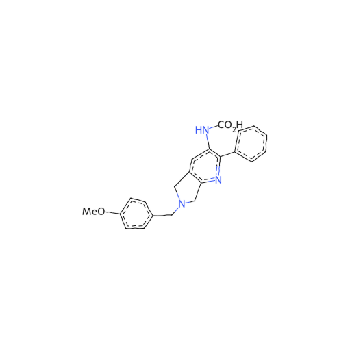 COc1ccc(CN2Cc3cc(NC(=O)O)c(-c4ccccc4)nc3C2)cc1